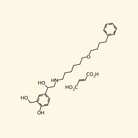 O=C(O)/C=C/C(=O)O.OCc1cc(C(O)CNCCCCCCOCCCCc2ccccc2)ccc1O